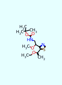 C=C(OCC)c1scnc1C(CNC(=O)OC(C)(C)C)OC